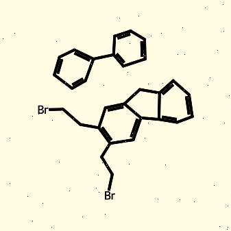 BrCCc1cc2c(cc1CCBr)-c1ccccc1C2.c1ccc(-c2ccccc2)cc1